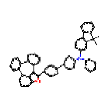 CC1(C)c2ccccc2-c2ccc(N(c3ccccc3)c3ccc(-c4ccc(-c5oc6cccc7c6c5-c5ccccc5-c5ccccc5-7)cc4)cc3)cc21